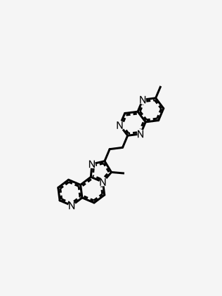 Cc1ccc2nc(CCc3nc4c5cccnc5ccn4c3C)ncc2n1